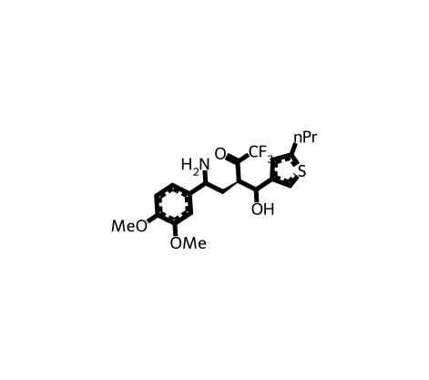 CCCc1cc(C(O)[C@@H](CC(N)c2ccc(OC)c(OC)c2)C(=O)C(F)(F)F)cs1